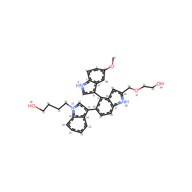 COc1ccc2[nH]cc(-c3c(-c4cn(CCCCO)c5ccccc45)ccc4[nH]c(COCCO)[c]c34)c2c1